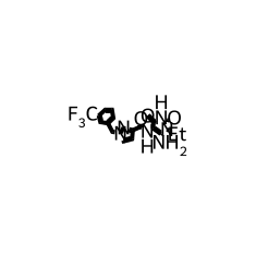 CCn1c(N)c(NC(=O)c2ccn(Cc3cccc(C(F)(F)F)c3)n2)c(=O)[nH]c1=O